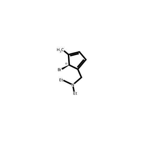 CCN(CC)CC1=CC=C(C)[C@@H]1Br